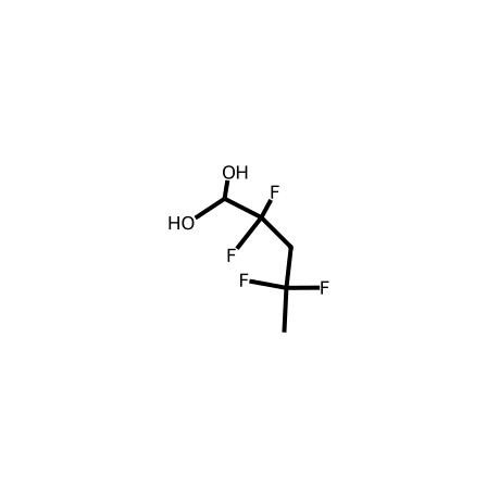 CC(F)(F)CC(F)(F)C(O)O